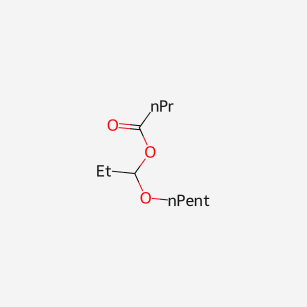 CCCCCOC(CC)OC(=O)CCC